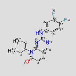 CCC(CC)n1c(=O)ccc2cnc(Nc3ccc(F)c(F)c3)nc21